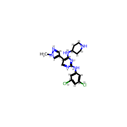 Cn1cc(-c2cnc(Nc3cc(Cl)cc(Cl)c3)nc2NC2CCNCC2)cn1